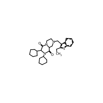 CCc1sc2ccccc2c1CN1CCN2C(=O)C(C3CCCCC3)N(C3CCCCC3)C(=O)C2C1